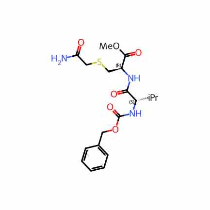 COC(=O)[C@H](CSCC(N)=O)NC(=O)[C@@H](NC(=O)OCc1ccccc1)C(C)C